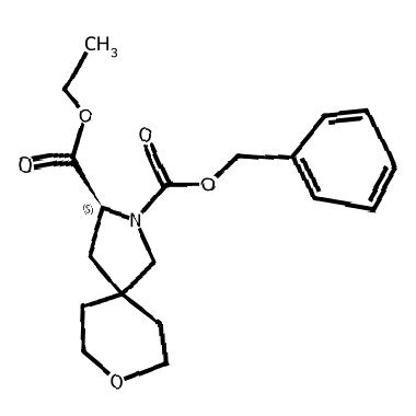 CCOC(=O)[C@@H]1CC2(CCOCC2)CN1C(=O)OCc1ccccc1